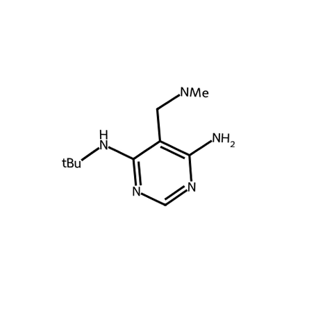 CNCc1c(N)ncnc1NC(C)(C)C